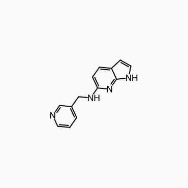 c1cncc(CNc2ccc3cc[nH]c3n2)c1